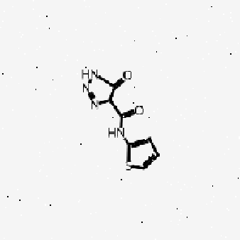 O=C1NN=NC1C(=O)Nc1cccs1